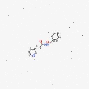 O=C(CCc1cccnc1)NOCc1ccccc1